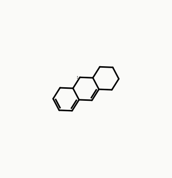 [C]1C2CC=CC=C2C=C2CCCCC12